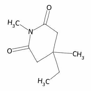 CCC1(C)CC(=O)N(C)C(=O)C1